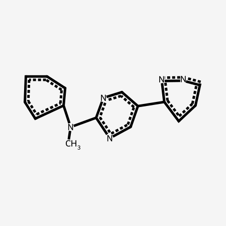 CN(c1ccccc1)c1ncc(-c2cccnn2)cn1